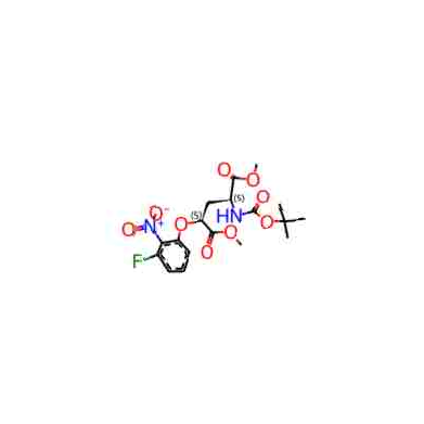 COC(=O)[C@H](C[C@H](Oc1cccc(F)c1[N+](=O)[O-])C(=O)OC)NC(=O)OC(C)(C)C